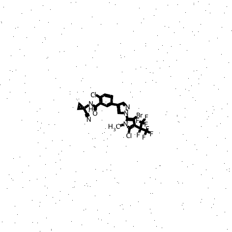 Cn1c(Cl)c(C(F)(C(F)(F)F)C(F)(F)F)c(Br)c1-n1cc(-c2ccc(Cl)c(C(=O)NC3(C#N)CC3)c2)cn1